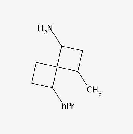 CCCC1CCC12C(C)CC2N